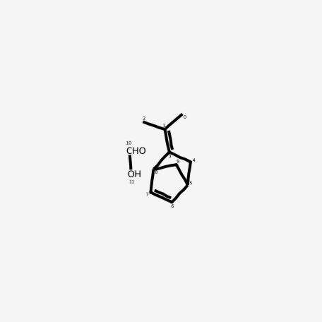 CC(C)=C1CC2C=CC1C2.O=CO